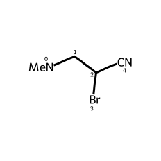 CNCC(Br)C#N